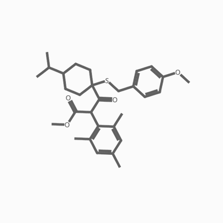 COC(=O)C(C(=O)C1(SCc2ccc(OC)cc2)CCC(C(C)C)CC1)c1c(C)cc(C)cc1C